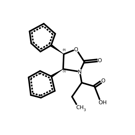 CCC(C(=O)O)N1C(=O)O[C@H](c2ccccc2)[C@@H]1c1ccccc1